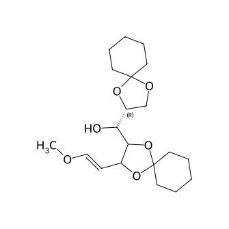 COC=CC1OC2(CCCCC2)OC1C(O)[C@H]1COC2(CCCCC2)O1